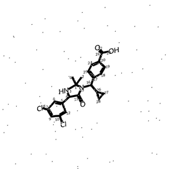 CC1(C)NC(c2cc(Cl)cc(Cl)c2)C(=O)N1C(c1ccc(C(=O)O)cc1)C1CC1